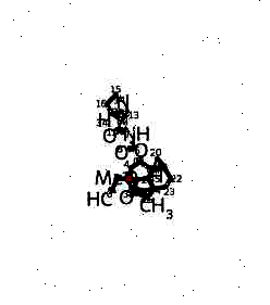 C#CCC1C[C@@H](OC(=O)NC(=O)[C@H]2CN3CC[C@@H]2C3)[C@]23C[C@@H]2CCC2(CC[C@@H](OC)C23)[C@@H](C)C1=O